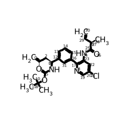 C=CC[C@H](NC(=O)OC(C)(C)C)c1cccc(-c2ncc(Cl)cc2NC(=O)[C@H](C)C=C)c1